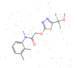 COC(F)(F)c1nnc(OCC(=O)N(C)c2cccc(C)c2C)s1